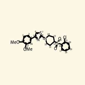 COc1ccc(-c2csc(N3CCC(S(=O)(=O)c4ccccc4Cl)CC3)n2)cc1OC